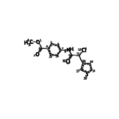 COC(=O)c1ccc(NC(=O)C(Cl)c2ccsc2)cc1